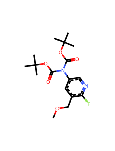 COCc1cc(N(C(=O)OC(C)(C)C)C(=O)OC(C)(C)C)cnc1F